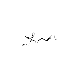 C=CCOS(=O)(=S)OC